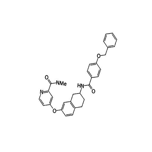 CNC(=O)c1cc(Oc2ccc3c(c2)CC(NC(=O)c2ccc(OCc4ccccc4)cc2)CC3)ccn1